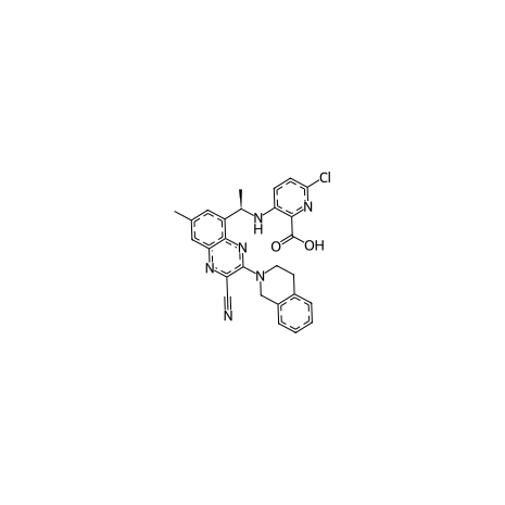 Cc1cc([C@@H](C)Nc2ccc(Cl)nc2C(=O)O)c2nc(N3CCc4ccccc4C3)c(C#N)nc2c1